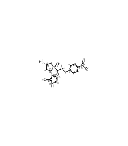 C[N+]1(C(=O)OCc2ccc([N+](=O)[O-])cc2)C[C@@H](S)C[C@H]1n1cc[nH]c1=O